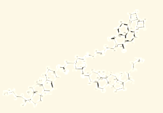 CC(C)CCCC(C)C1CCC2C3CC=C4CC(OC(=O)CN(CCOCCOCCN5C(=O)c6ccc(N7CCC7)c7c(N8CCC8)ccc(c67)C5=O)CC(=O)OC5CC[C@@]6(C)C(=CCC7C8CCC(C(C)CCCC(C)C)[C@@]8(C)CCC76)C5)CC[C@]4(C)C3CC[C@]12C